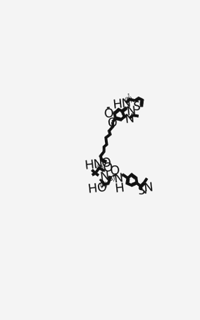 COc1cc2c(N[C@H](C)c3cccs3)nc(C)nc2cc1OCCCCCCCCC(=O)N[C@H](C(=O)N1C[C@H](O)C[C@H]1C(=O)NCc1ccc(-c2scnc2C)cc1)C(C)(C)C